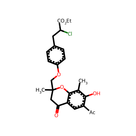 CCOC(=O)C(Cl)Cc1ccc(OCC2(C)CC(=O)c3cc(C(C)=O)c(O)c(C)c3O2)cc1